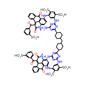 Cn1c(=O)c(C(=O)c2cccc(S(=O)(=O)O)c2)c2c3c(c(Nc4cc(Nc5nc(N)nc(C6CCC(CC7CCC(c8nc(N)nc(Nc9cc(Nc%10ccc%11c%12c%10C(=O)c%10ccccc%10-c%12c(C(=O)c%10cccc(S(=O)(=O)O)c%10)c(=O)n%11C)c(S(=O)(=O)O)cc9S(=O)(=O)O)n8)CC7)CC6)n5)c(S(=O)(=O)O)cc4S(=O)(=O)O)ccc31)C(=O)c1ccccc1-2